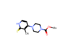 CC(C)(C)OC(=O)N1CCN(c2cc[nH]c(=S)c2C#N)CC1